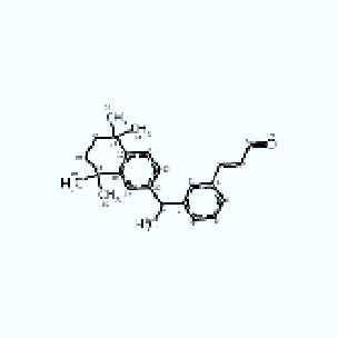 CC(c1cccc(C=CC=O)c1)c1ccc2c(c1)C(C)(C)CCC2(C)C